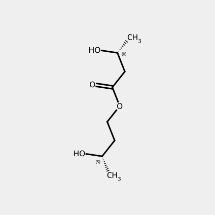 C[C@H](O)CCOC(=O)C[C@@H](C)O